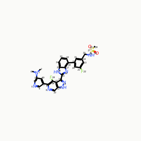 CN(C)c1cncc(-c2ncc3[nH]nc(-c4nc5c(-c6cc(F)cc(CNS(C)(=O)=O)c6)cccc5[nH]4)c3c2F)c1